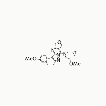 COCCN(CC1CC1)c1c2c(nc3c(-c4ccc(OC)cc4C)c(C)nn13)COC2